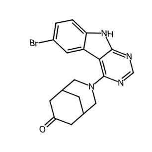 O=C1CC2CC(C1)CN(c1ncnc3[nH]c4ccc(Br)cc4c13)C2